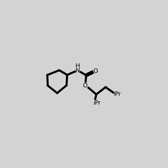 CC(C)CC(OC(=O)NC1CCCCC1)C(C)C